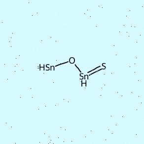 [S]=[SnH][O][SnH]